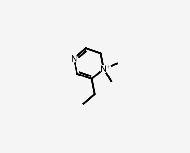 CCC1=CN=CC[N+]1(C)C